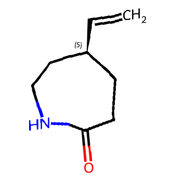 C=C[C@@H]1CCNC(=O)CC1